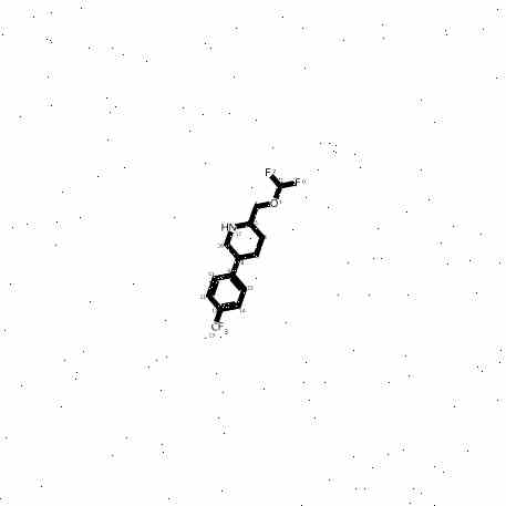 FC(F)OCC1CCC(c2ccc(C(F)(F)F)cc2)CN1